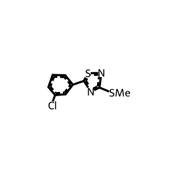 CSc1nsc(-c2cccc(Cl)c2)n1